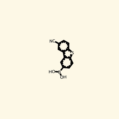 N#Cc1ccc2sc3ccc(B(O)O)cc3c2c1